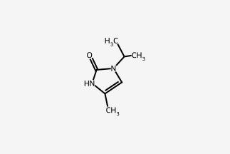 Cc1cn(C(C)C)c(=O)[nH]1